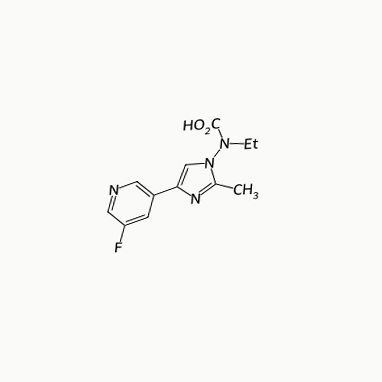 CCN(C(=O)O)n1cc(-c2cncc(F)c2)nc1C